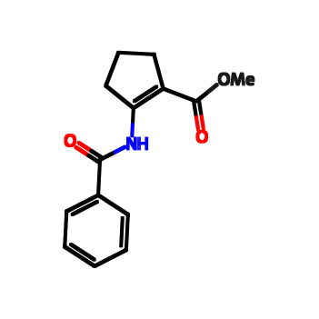 COC(=O)C1=C(NC(=O)c2ccccc2)CCC1